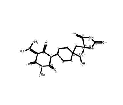 CCCCN1C(=O)C(=C(N)N)C(=O)N(C2CCC(CO)(C[C@@]3(C)NC(=O)NC3=O)CC2)C1=O